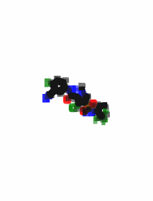 CCC(NS(=O)(=O)c1cn(C)c(C(=O)Nc2ccc(F)c(C#N)c2)c1Cl)C(F)(F)F